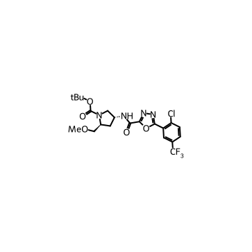 COC[C@@H]1C[C@@H](NC(=O)c2nnc(-c3cc(C(F)(F)F)ccc3Cl)o2)CN1C(=O)OC(C)(C)C